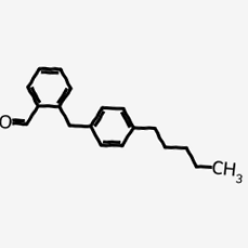 CCCCCc1ccc(Cc2ccccc2C=O)cc1